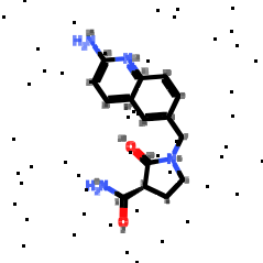 NC(=O)[C@@H]1CCN(Cc2ccc3nc(N)ccc3c2)C1=O